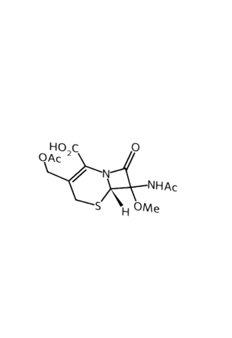 COC1(NC(C)=O)C(=O)N2C(C(=O)O)=C(COC(C)=O)CS[C@H]21